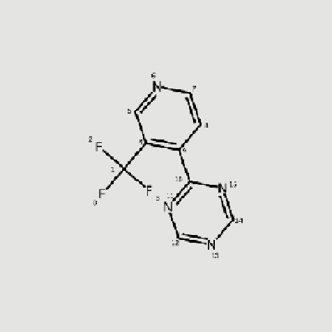 FC(F)(F)c1cnccc1-c1ncncn1